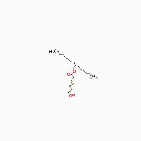 CCCCCCCCC(CCCCCC)COC(=O)CCSSCCO